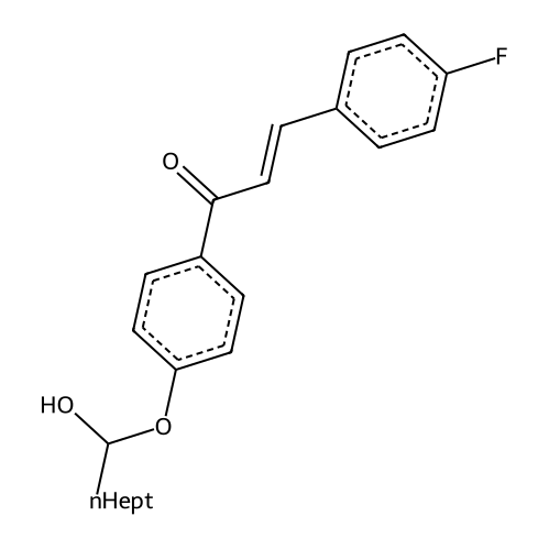 CCCCCCCC(O)Oc1ccc(C(=O)C=Cc2ccc(F)cc2)cc1